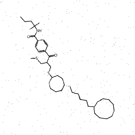 CCCC(C)(C)NC(=O)c1ccc(C(=O)C(CSC)CSC2CCCC[C@@H](CCCCCCC3CCCCCCCCC3)CC2)cc1